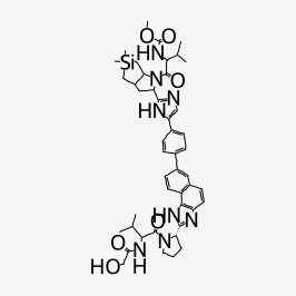 COC(=O)N[C@H](C(=O)N1C(c2ncc(-c3ccc(-c4ccc5c(ccc6nc([C@@H]7CCCN7C(=O)C(NC(=O)CO)C(C)C)[nH]c65)c4)cc3)[nH]2)CC2C[Si](C)(C)CC21)C(C)C